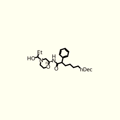 CCCCCCCCCCCCCCC(C(=O)N[C@@H]1CN(C(O)CC)CCO1)c1ccccc1